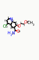 COCCOc1cc2nccc(Cl)c2cc1C(N)=O